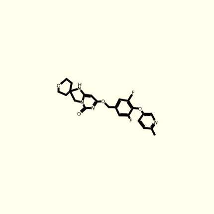 Cc1ccc(Oc2c(F)cc(COc3cc4n(c(=O)n3)CC3(CCOCC3)N4)cc2F)cn1